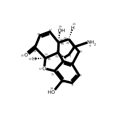 NC1CC[C@]23c4c5ccc(O)c4O[C@H]2C(=O)C=C[C@@]3(O)[C@H]1C5